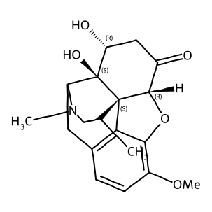 COc1ccc2c3c1O[C@H]1C(=O)C[C@@H](O)[C@@]4(O)C(C2)N(C)CC(C)[C@]314